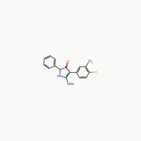 CNC1=C(c2ccc(Cl)c(C(F)(F)F)c2)C(=O)C(c2ccccc2)N1